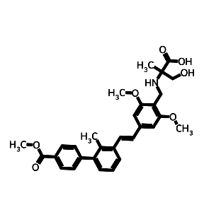 COC(=O)c1ccc(-c2cccc(C=Cc3cc(OC)c(CNC(C)(CO)C(=O)O)c(OC)c3)c2C)cc1